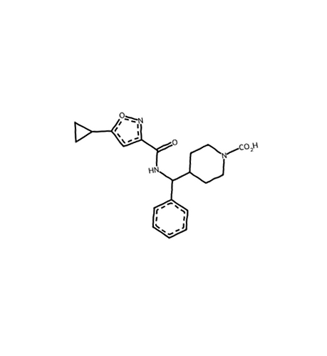 O=C(NC(c1ccccc1)C1CCN(C(=O)O)CC1)c1cc(C2CC2)on1